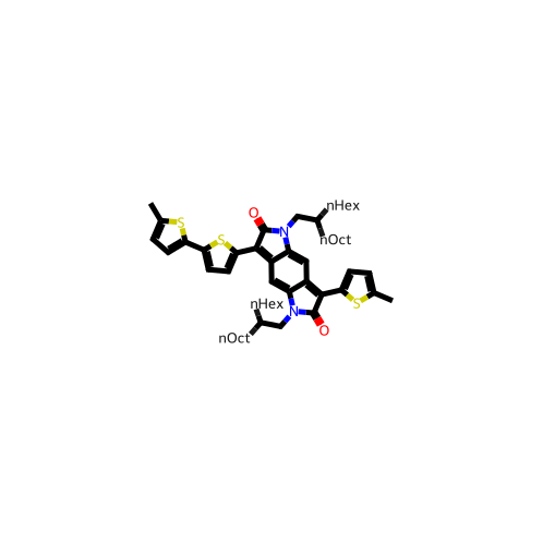 CCCCCCCCC(CCCCCC)CN1C(=O)C(c2ccc(C)s2)=c2cc3c(cc21)=C(c1ccc(-c2ccc(C)s2)s1)C(=O)N3CC(CCCCCC)CCCCCCCC